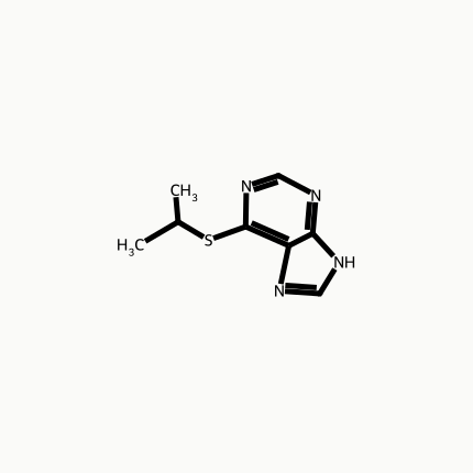 CC(C)Sc1ncnc2[nH]cnc12